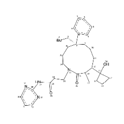 CCC(C)C[C@]1(c2ccccc2)CCCC(C2(O)CCC2)C(C)C(=O)N(CCC(=O)Nc2ncccn2)CCC1